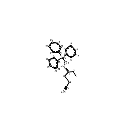 CC/C(CCC#N)=N\O[Si](c1ccccc1)(c1ccccc1)c1ccccc1